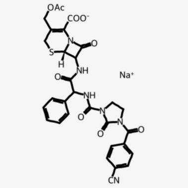 CC(=O)OCC1=C(C(=O)[O-])N2C(=O)C(NC(=O)C(NC(=O)N3CCN(C(=O)c4ccc(C#N)cc4)C3=O)c3ccccc3)[C@@H]2SC1.[Na+]